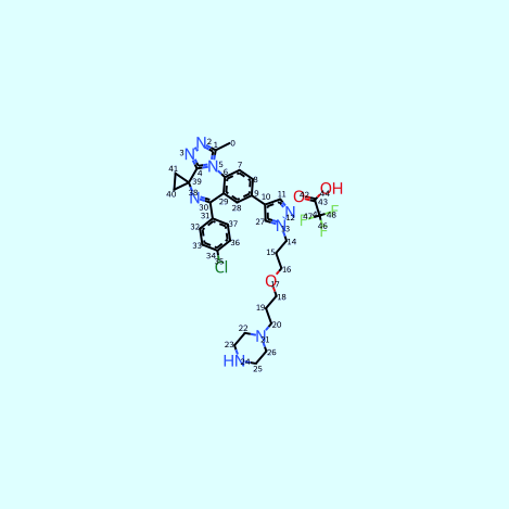 Cc1nnc2n1-c1ccc(-c3cnn(CCCOCCCN4CCNCC4)c3)cc1C(c1ccc(Cl)cc1)=NC21CC1.O=C(O)C(F)(F)F